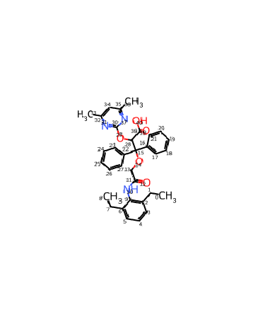 CCc1cccc(CC)c1NC(=O)COC(c1ccccc1)(c1ccccc1)C(Oc1nc(C)cc(C)n1)C(=O)O